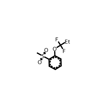 CCC(F)(F)Oc1ccccc1S(C)(=O)=O